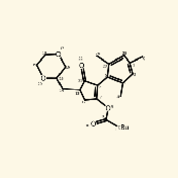 Cc1cc(C)c(C2=C(OC(=O)C(C)(C)C)CC(CC3COCCO3)C2=O)c(C)c1